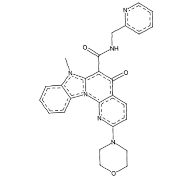 Cn1c2ccccc2n2c3nc(N4CCOCC4)ccc3c(=O)c(C(=O)NCc3ccccn3)c12